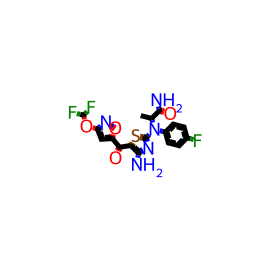 CC(C(N)=O)N(c1ccc(F)cc1)c1nc(N)c(C(=O)c2cc(OC(F)F)no2)s1